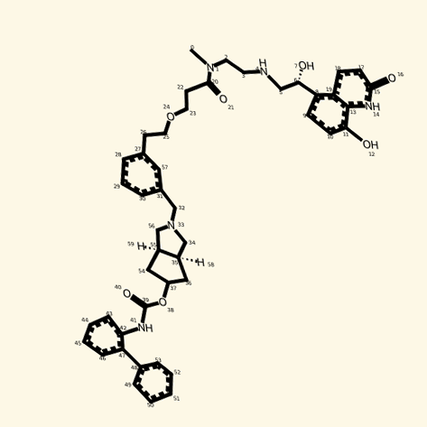 CN(CCNC[C@H](O)c1ccc(O)c2[nH]c(=O)ccc12)C(=O)CCOCCc1cccc(CN2C[C@H]3CC(OC(=O)Nc4ccccc4-c4ccccc4)C[C@H]3C2)c1